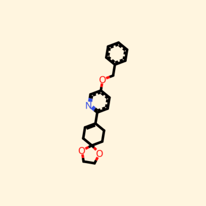 C1=C(c2ccc(OCc3ccccc3)cn2)CCC2(C1)OCCO2